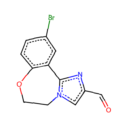 O=Cc1cn2c(n1)-c1cc(Br)ccc1OCC2